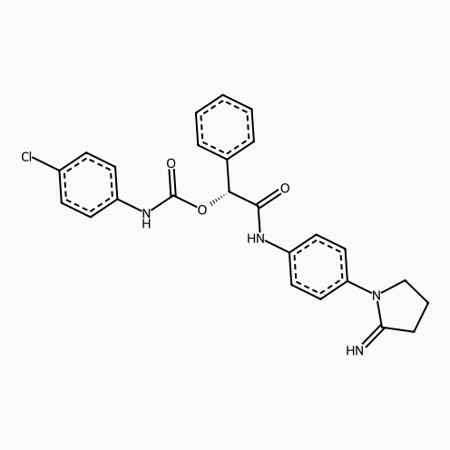 N=C1CCCN1c1ccc(NC(=O)[C@H](OC(=O)Nc2ccc(Cl)cc2)c2ccccc2)cc1